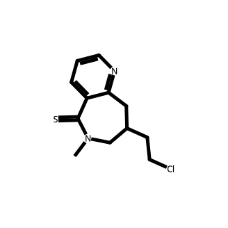 CN1CC(CCCl)Cc2ncccc2C1=S